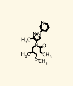 CCC(=O)N(CC(C)CSC)c1cn(-c2cccnc2)nc1C